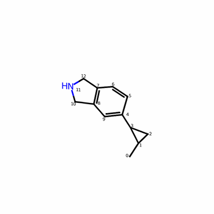 CC1CC1c1ccc2c(c1)CNC2